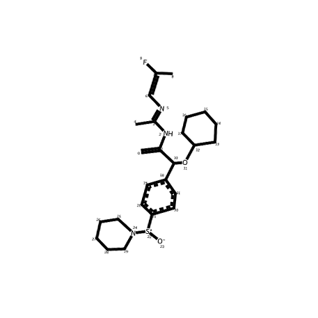 C=C(N/C(C)=N/C=C(\C)F)C(OC1CCCCC1)c1ccc([S+]([O-])N2CCCCC2)cc1